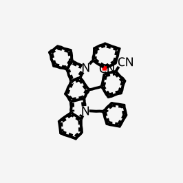 N#Cc1cccc(-c2c3c(cc4c5ccccc5n(-c5ccccc5)c24)c2ccccc2n3-c2ccccc2)c1C#N